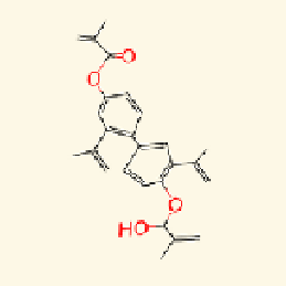 C=C(C)C(=O)Oc1ccc(-c2ccc(OC(O)C(=C)C)c(C(=C)C)c2)c(C(=C)C)c1